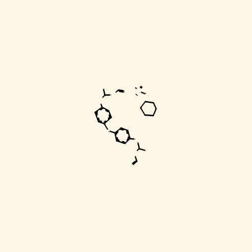 C1CCCCC1.C=COC(C)Oc1ccc([I+]c2ccc(OC(C)OC=C)cc2)cc1.NS(=O)(=O)[O-]